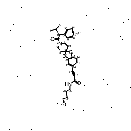 CC(C)[C@H](C(=O)N1CCC2(CC1)Oc1ccc(C#CC(=O)NCCCC=O)cc1O2)c1ccc(Cl)cc1